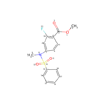 COC(=O)c1ccc(N(C)S(=O)(=O)c2ccccc2)cc1F